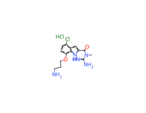 CN(C(=N)N)C(=O)c1cc2c(Cl)ccc(OCCCN)c2[nH]1.Cl